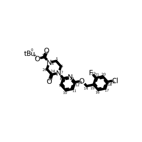 CC(C)(C)OC(=O)N1CCN(c2cccc(OCc3ccc(Cl)cc3F)n2)C(=O)C1